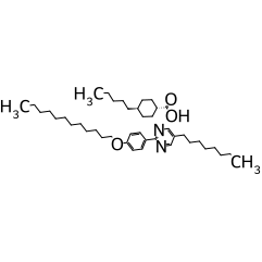 CCCCCCCCCCCCOc1ccc(-c2ncc(CCCCCCCC)cn2)cc1.CCCCC[C@H]1CC[C@H](C(=O)O)CC1